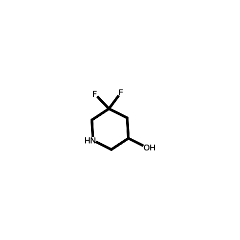 OC1CNCC(F)(F)C1